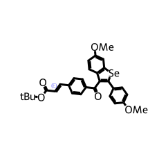 COc1ccc(-c2[se]c3cc(OC)ccc3c2C(=O)c2ccc(/C=C/C(=O)OC(C)(C)C)cc2)cc1